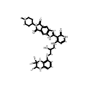 CN1CCC(N2C(=O)c3cc4nc(-c5c(NCC(O)COc6cccc7c6OC(F)(F)C(F)O7)cc[nH]c5=O)[nH]c4cc3C2=O)CC1